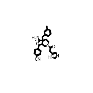 Cc1cccc(CC2(C(N)=O)CCN(C(=O)Cc3cnc[nH]3)CC2Cc2ccc(C#N)cc2)c1